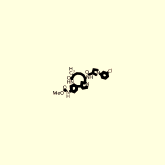 COC(=O)Nc1ccc2c(c1)NC(=O)[C@H](C)CCC[C@H](NC(=O)C1CCN(c3cccc(Cl)c3)C1)c1cc-2ccn1